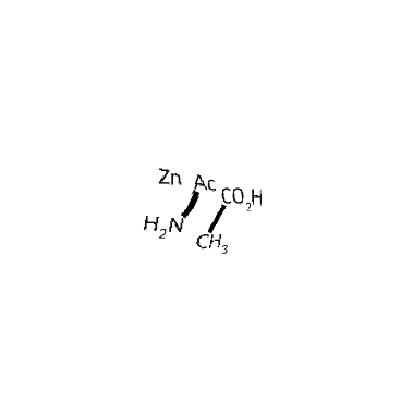 CC(=O)O.CC(N)=O.[Zn]